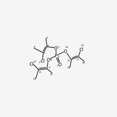 C/C(Cl)=C(\C)OP(=O)(O/C(C)=C(/C)Cl)O/C(C)=C(/C)Cl